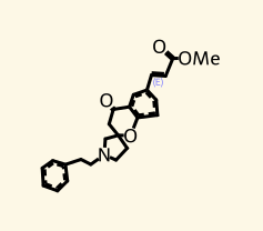 COC(=O)/C=C/c1ccc2c(c1)C(=O)CC1(CCN(CCc3ccccc3)C1)O2